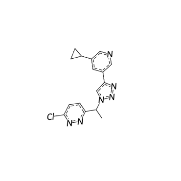 CC(c1ccc(Cl)nn1)n1cc(-c2cncc(C3CC3)c2)nn1